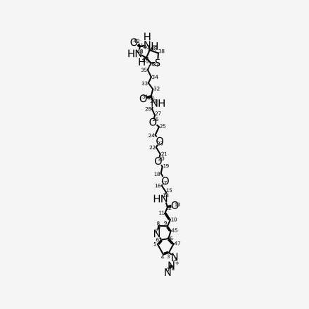 [N-]=[N+]=Nc1ccc2ncc(/C=C/C(=O)NCCOCCOCCOCCOCCNC(=O)CCCC[C@@H]3SC[C@@H]4NC(=O)N[C@@H]43)cc2c1